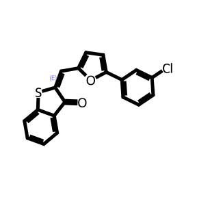 O=C1/C(=C\c2ccc(-c3cccc(Cl)c3)o2)Sc2ccccc21